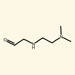 CN(C)CCNC[C]=O